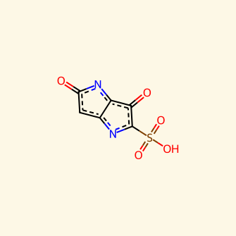 O=c1cc2nc(S(=O)(=O)O)c(=O)c-2n1